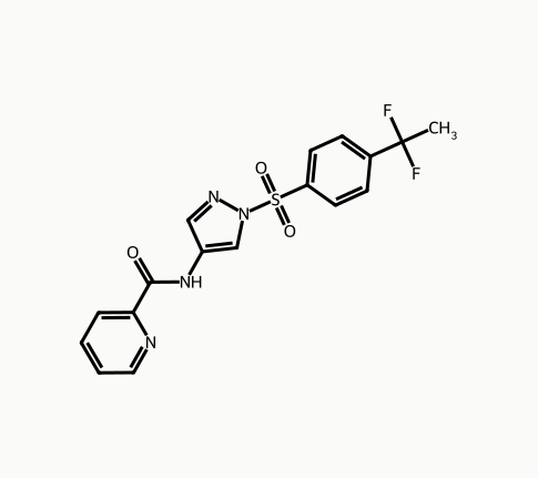 CC(F)(F)c1ccc(S(=O)(=O)n2cc(NC(=O)c3ccccn3)cn2)cc1